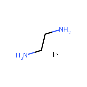 NCCN.[Ir]